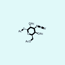 CC(=O)OC[C@H]1O[C@H](SC(C)=O)[C@H](OC(C)=O)[C@@H](N=[N+]=[N-])[C@H]1OC(C)=O